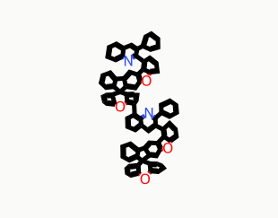 c1ccc(-c2cc3ccccc3nc2-c2cccc3oc4cc5c(cc4c23)-c2ccccc2C52c3ccccc3Oc3c(-c4cccc5cc(-c6cccc7oc8cc9c(cc8c67)-c6ccccc6C96c7ccccc7Oc7ccccc76)c(-c6ccccc6)nc45)cccc32)cc1